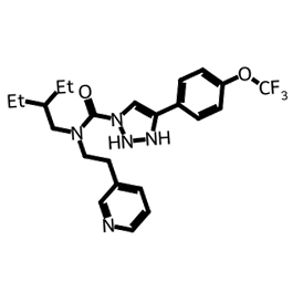 CCC(CC)CN(CCc1cccnc1)C(=O)N1C=C(c2ccc(OC(F)(F)F)cc2)NN1